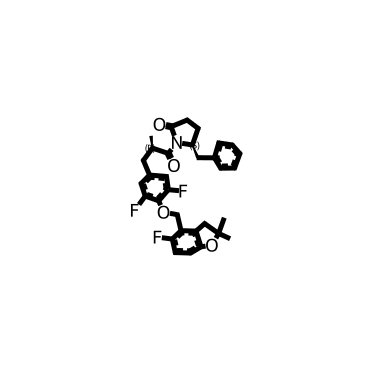 C[C@H](Cc1cc(F)c(OCc2c(F)ccc3c2CC(C)(C)O3)c(F)c1)C(=O)N1C(=O)CC[C@H]1Cc1ccccc1